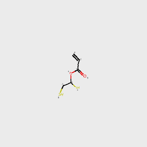 C=CC(=O)OC(S)CS